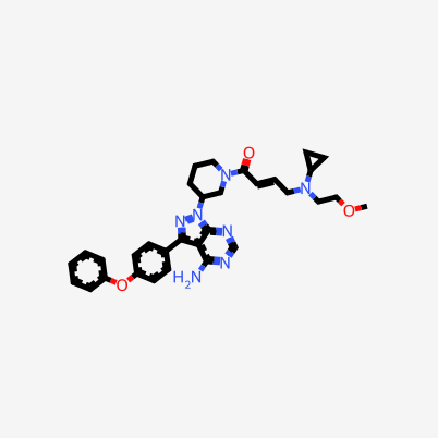 COCCN(C/C=C/C(=O)N1CCCC(n2nc(-c3ccc(Oc4ccccc4)cc3)c3c(N)ncnc32)C1)C1CC1